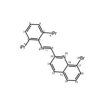 CC(C)c1cccc(C(C)C)c1/N=C/c1ccc2cccc(Br)c2n1